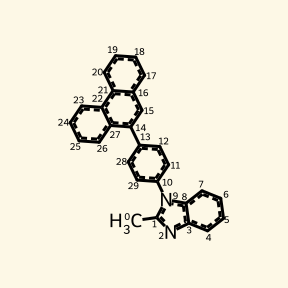 Cc1nc2ccccc2n1-c1ccc(-c2cc3ccccc3c3ccccc23)cc1